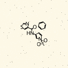 CS(=O)(=O)n1ccc(NC(=O)c2cscn2)c1.c1ccccc1